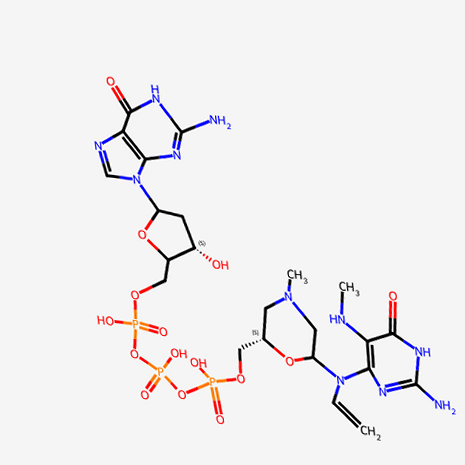 C=CN(c1nc(N)[nH]c(=O)c1NC)C1CN(C)C[C@@H](COP(=O)(O)OP(=O)(O)OP(=O)(O)OCC2OC(n3cnc4c(=O)[nH]c(N)nc43)C[C@@H]2O)O1